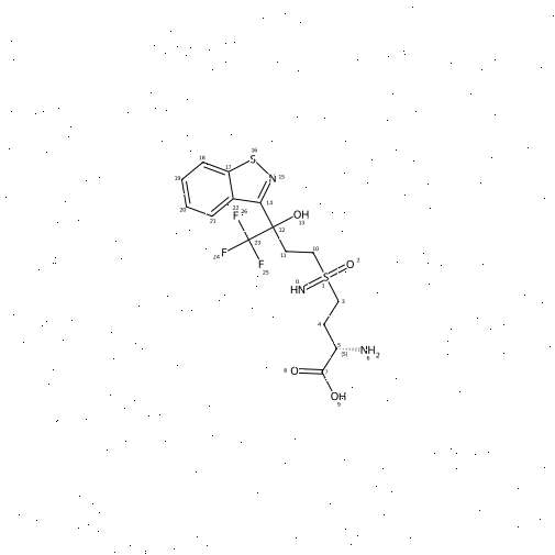 N=S(=O)(CC[C@H](N)C(=O)O)CCC(O)(c1nsc2ccccc12)C(F)(F)F